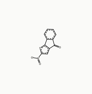 O=C1c2ccccc2-c2sc([N+](=O)[O-])cc21